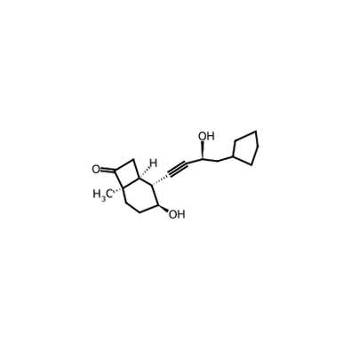 C[C@@]12CC[C@H](O)[C@@H](C#C[C@@H](O)CC3CCCC3)[C@@H]1CC2=O